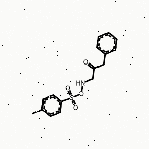 Cc1ccc(S(=O)(=O)ONCC(=O)Cc2ccccc2)cc1